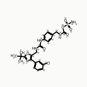 CC(C)(C)c1nc(-c2cccc(Cl)c2)c(CNC(=O)Nc2ccc(CNC(=O)OS(N)(=O)=O)cc2)o1